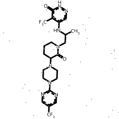 CC(CN1CCCC(N2CCN(c3ncc(C(F)(F)F)cn3)CC2)C1=O)Nc1cn[nH]c(=O)c1C(F)(F)F